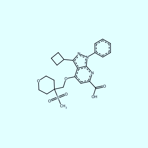 CS(=O)(=O)C1(COc2cc(C(=O)O)nc3c2c(C2CCC2)nn3-c2ccccc2)CCOCC1